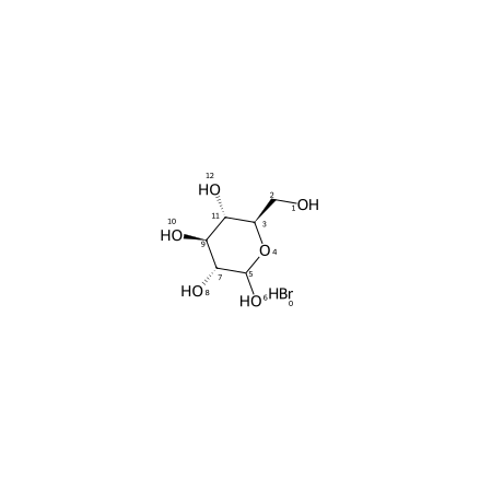 Br.OC[C@H]1OC(O)[C@H](O)[C@@H](O)[C@@H]1O